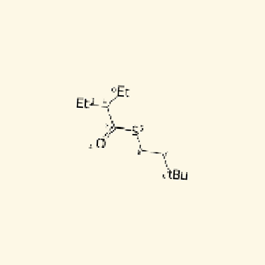 CCC(CC)C(=O)SCCC(C)(C)C